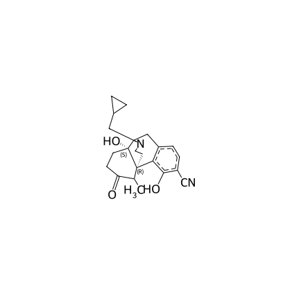 CC1C(=O)CC[C@@]2(O)C3Cc4ccc(C#N)c(O)c4[C@@]12CCN3CC1CC1